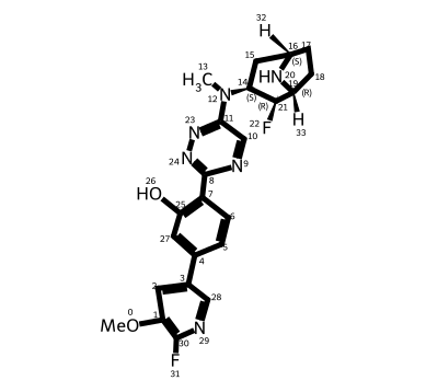 COc1cc(-c2ccc(-c3ncc(N(C)[C@H]4C[C@@H]5CC[C@@H](N5)[C@H]4F)nn3)c(O)c2)cnc1F